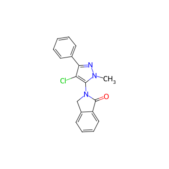 Cn1nc(-c2ccccc2)c(Cl)c1N1Cc2ccccc2C1=O